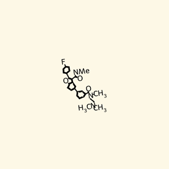 CNC(=O)c1c(-c2ccc(F)cc2)oc2ccc(-c3cccc(C(=O)N(C)CCN(C)C)c3)cc12